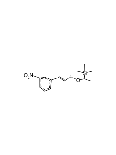 CC(O[CH]C=Cc1cccc([N+](=O)[O-])c1)[Si](C)(C)C